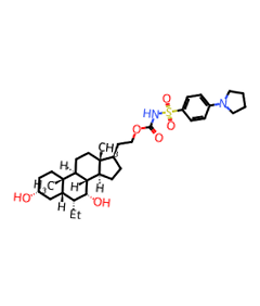 CC[C@H]1[C@@H](O)[C@@H]2[C@H](CC[C@]3(C)[C@@H](CCOC(=O)NS(=O)(=O)c4ccc(N5CCCC5)cc4)CC[C@@H]23)[C@@]2(C)CC[C@@H](O)C[C@@H]12